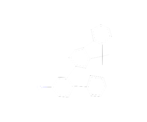 CC1(C)c2ccccc2-c2ccc(-c3cc(N)ccc3-c3ccccc3)cc21